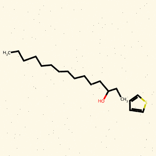 CCCCCCCCCCCCC(O)CC.c1ccsc1